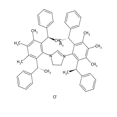 Cc1c(C)c([C@H](C)c2ccccc2)c(N2C=[N+](c3c([C@H](C)c4ccccc4)c(C)c(C)c(C)c3[C@H](C)c3ccccc3)CC2)c([C@H](C)c2ccccc2)c1C.[Cl-]